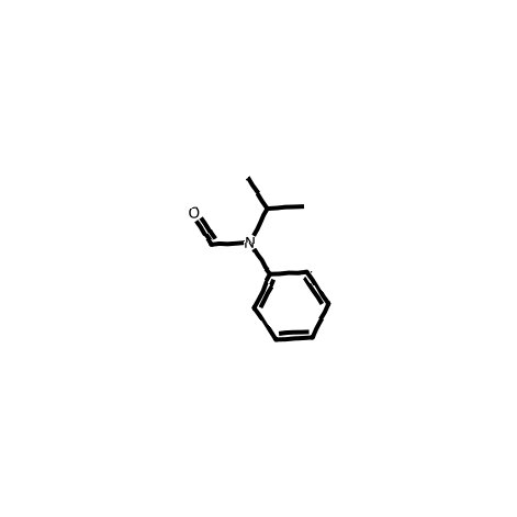 CC(C)N(C=O)c1[c]cccc1